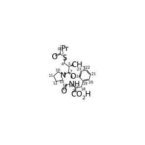 CC(C)C(=O)SC[C@@H](C)C(=O)N1CCC[C@H]1C(=O)N[C@@H](Cc1ccccc1)C(=O)O